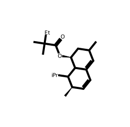 CCC(C)(C)C(=O)O[C@H]1CC(C)C=C2C=C[C@@H](C)C(C(C)C)C21